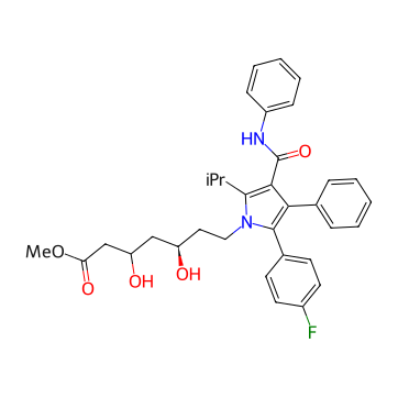 COC(=O)CC(O)C[C@H](O)CCn1c(-c2ccc(F)cc2)c(-c2ccccc2)c(C(=O)Nc2ccccc2)c1C(C)C